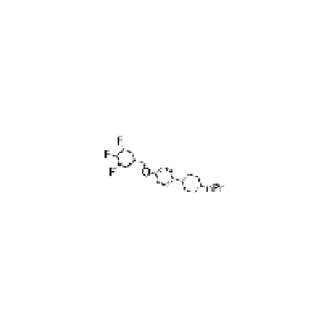 CCCC1CCC(c2ccc(OCc3cc(F)c(F)c(F)c3)cc2)CC1